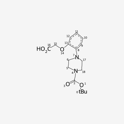 CC(C)(C)OC(=O)N1CCN(c2ccccc2OCC(=O)O)CC1